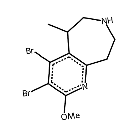 COc1nc2c(c(Br)c1Br)C(C)CNCC2